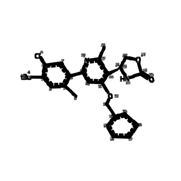 Cc1cc(C(C)(C)C)c(Cl)cc1-c1cc(OCc2ccccc2)c([C@H]2COC(=O)N2)c(C)n1